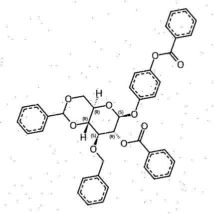 O=C(Oc1ccc(O[C@@H]2O[C@@H]3COC(c4ccccc4)O[C@H]3[C@H](OCc3ccccc3)[C@H]2OC(=O)c2ccccc2)cc1)c1ccccc1